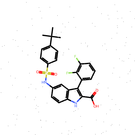 CC(C)(C)c1ccc(S(=O)(=O)Nc2ccc3[nH]c(C(=O)O)c(-c4cccc(F)c4F)c3c2)cc1